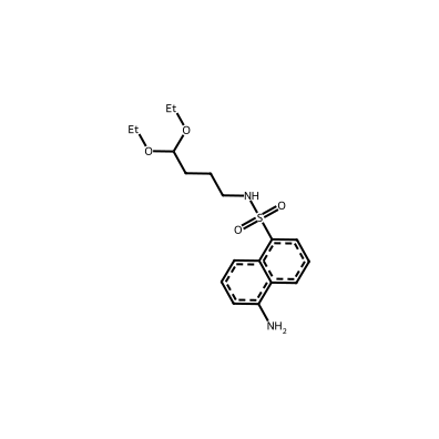 CCOC(CCCNS(=O)(=O)c1cccc2c(N)cccc12)OCC